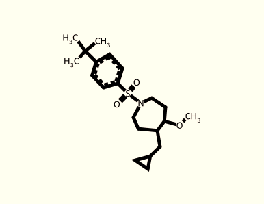 COC1CCN(S(=O)(=O)c2ccc(C(C)(C)C)cc2)CCC1CC1CC1